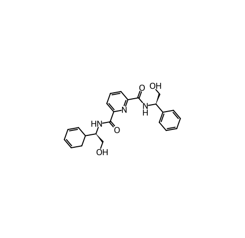 O=C(N[C@@H](CO)c1ccccc1)c1cccc(C(=O)N[C@@H](CO)C2C=CC=CC2)n1